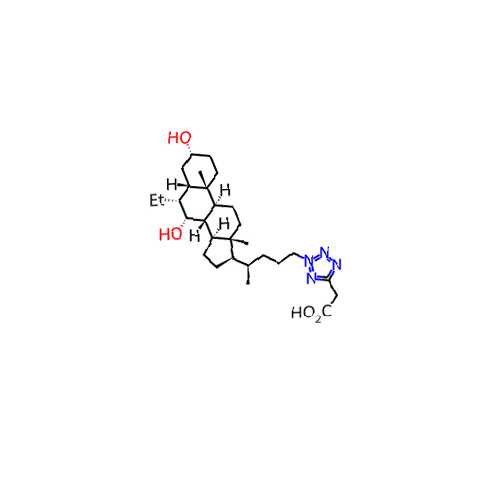 CC[C@H]1[C@@H](O)[C@@H]2[C@H](CC[C@]3(C)[C@@H]([C@H](C)CCCn4nnc(CC(=O)O)n4)CC[C@@H]23)[C@@]2(C)CC[C@@H](O)C[C@@H]12